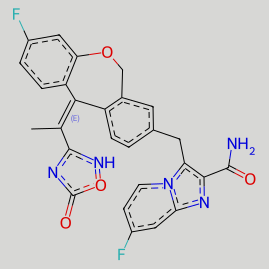 C/C(=C1/c2ccc(Cc3c(C(N)=O)nc4cc(F)ccn34)cc2COc2cc(F)ccc21)c1nc(=O)o[nH]1